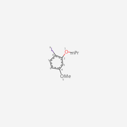 CCCOc1cc(OC)ccc1I